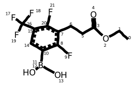 CCOC(=O)CCc1c(F)c(B(O)O)cc(C(F)(F)F)c1F